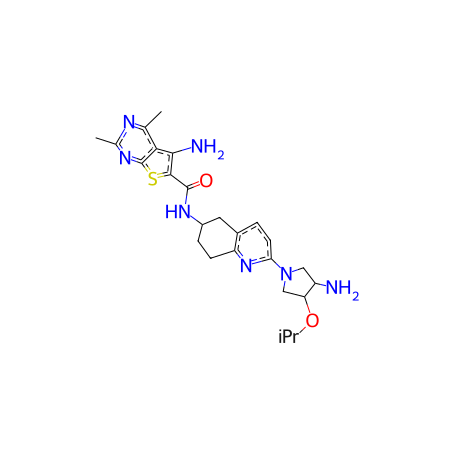 Cc1nc(C)c2c(N)c(C(=O)NC3CCc4nc(N5CC(N)C(OC(C)C)C5)ccc4C3)sc2n1